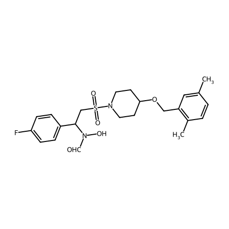 Cc1ccc(C)c(COC2CCN(S(=O)(=O)CC(c3ccc(F)cc3)N(O)C=O)CC2)c1